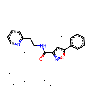 O=C(NCCc1ccccn1)c1cc(-c2ccccc2)on1